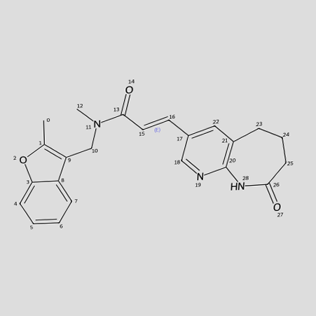 Cc1oc2ccccc2c1CN(C)C(=O)/C=C/c1cnc2c(c1)CCCC(=O)N2